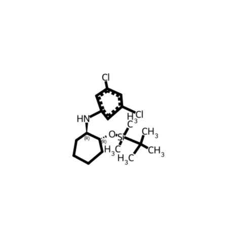 CC(C)(C)[Si](C)(C)O[C@@H]1CCCC[C@H]1Nc1cc(Cl)cc(Cl)c1